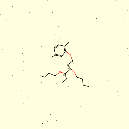 CCCCO[C@H](CC)[C@@H](C[C@@H](C)Oc1cc(C)ccc1C)OCCCC